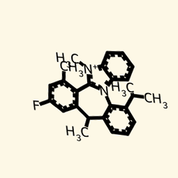 Cc1cc(F)cc2c1-c1n(c3ccccc3[n+]1C)-c1c(C(C)C)cccc1C2C